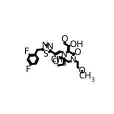 COCCN1CC2(CCOC2)N(/C=C(\C)c2nnc(Cc3ccc(F)cc3F)s2)/C(=C(/O)C=O)C1=O